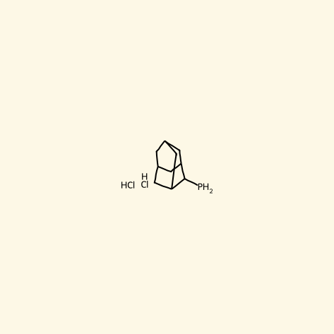 Cl.Cl.PC1C2CC3CC(C2)CC1C3